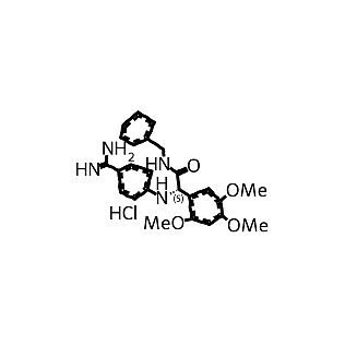 COc1cc(OC)c([C@H](Nc2ccc(C(=N)N)cc2)C(=O)NCc2ccccc2)cc1OC.Cl